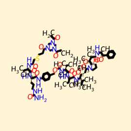 C=CC(=O)N1CN(C(=O)C=C)CN(C(=O)CCSCC(=O)N[C@H](C(=O)N[C@@H](CCCNC(N)=O)C(=O)Nc2ccc(COC(=O)N(C)[C@H](C(=O)N[C@H](C(=O)N(C)[C@@H](C(C)CC)[C@@H](CC(=O)N3CCC[C@H]3[C@H](OC)[C@@H](C)C(=O)N[C@H](C)[C@@H](O)c3ccccc3)OC)C(C)C)C(C)C)cc2)C(C)C)C1